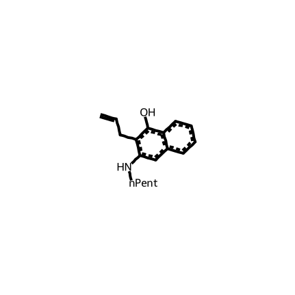 C=CCc1c(NCCCCC)cc2ccccc2c1O